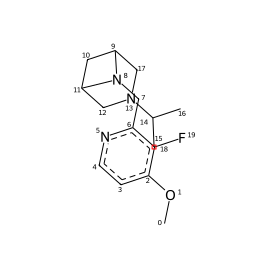 COc1ccnc(CN2C3CC2CN(C(C)C)C3)c1F